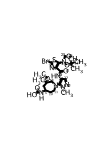 COC1(C)CC(NC(=O)O)CCN(c2c(NC(=O)c3nc(Br)sc3N(C=O)OC(C)(C)C)cnn2C)C1